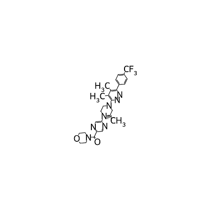 Cc1c(-c2ccc(C(F)(F)F)cc2)nnc(N2CCN(c3cnc(C(=O)N4CCOCC4)cn3)[C@H](C)C2)c1C